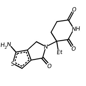 CCC1(N2Cc3c(csc3N)C2=O)CCC(=O)NC1=O